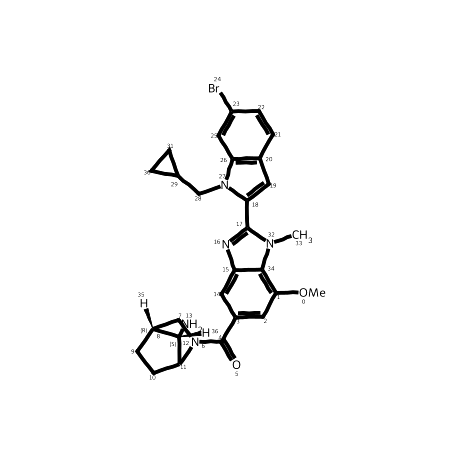 COc1cc(C(=O)N2C[C@H]3CCC2[C@H]3N)cc2nc(-c3cc4ccc(Br)cc4n3CC3CC3)n(C)c12